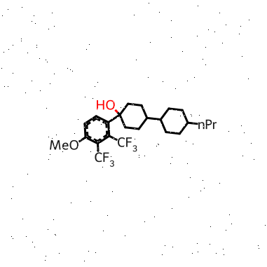 CCCC1CCC(C2CCC(O)(c3ccc(OC)c(C(F)(F)F)c3C(F)(F)F)CC2)CC1